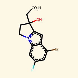 O=C(O)CC1(O)CCn2c1cc1c(Br)cc(F)cc12